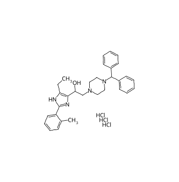 CCc1[nH]c(-c2ccccc2C)nc1C(O)CN1CCN(C(c2ccccc2)c2ccccc2)CC1.Cl.Cl.Cl